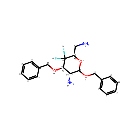 NC[C@H]1OC(OCc2ccccc2)[C@H](N)[C@@H](OCc2ccccc2)C1(F)F